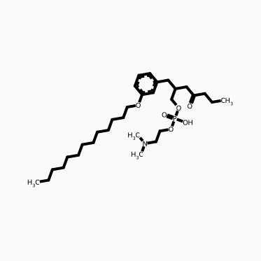 CCCCCCCCCCCCCOc1cccc(CC(COP(=O)(O)OCCN(C)C)CC(=O)CCC)c1